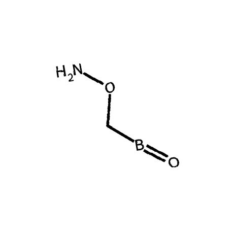 NOCB=O